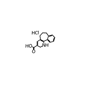 Cl.O=C(O)C1=CC2=C(NC1)c1ccccc1CCC2